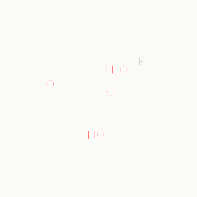 C1COCCO1.O.[K+].[OH-]